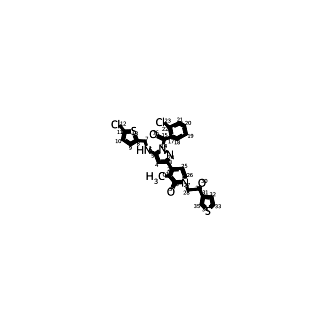 Cc1c(-c2cc(NCc3ccc(Cl)s3)n(C(=O)c3ccccc3Cl)n2)ccn(CC(=O)c2ccsc2)c1=O